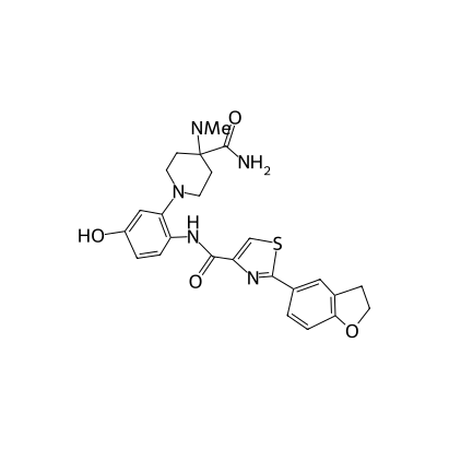 CNC1(C(N)=O)CCN(c2cc(O)ccc2NC(=O)c2csc(-c3ccc4c(c3)CCO4)n2)CC1